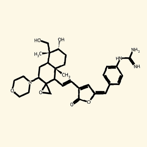 C[C@]12CC[C@@H](O)[C@@](C)(CO)C1CC(N1CCOCC1)C1(CO1)C2/C=C/C1=CC(=C\c2ccc(NC(=N)N)cc2)/OC1=O